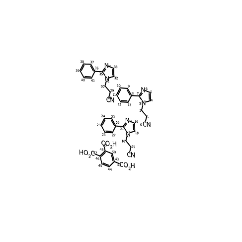 N#CCCn1ccnc1-c1ccccc1.N#CCCn1ccnc1-c1ccccc1.N#CCCn1ccnc1-c1ccccc1.O=C(O)c1ccc(C(=O)O)c(C(=O)O)c1